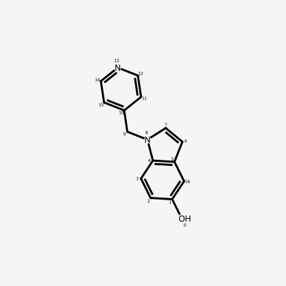 Oc1ccc2c(ccn2Cc2ccncc2)c1